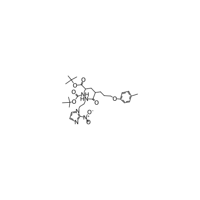 Cc1ccc(OCCCC(CC(NC(=O)OC(C)(C)C)C(=O)OC(C)(C)C)C(=O)NCCn2ccnc2[N+](=O)[O-])cc1